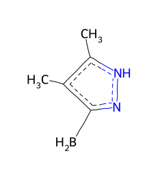 Bc1n[nH]c(C)c1C